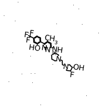 Cc1cc(N[C@@H]2CCCN(CCN3CC(O)C(F)C3)C2)nnc1-c1ccc(C(F)(F)F)cc1O